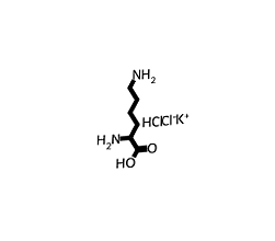 Cl.NCCCCC(N)C(=O)O.[Cl-].[K+]